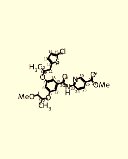 COC[C@H](C)Oc1cc(O[C@@H](C)Cc2ccc(Cl)s2)cc(C(=O)Nc2ccc(C(=O)OC)cn2)c1